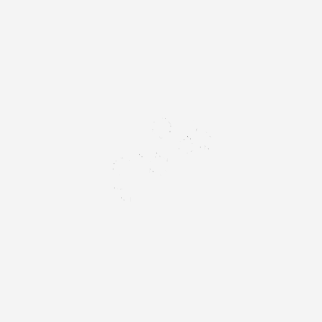 NS(=O)(=O)c1cccc(Nc2nccc(-c3sc4nccc(=O)n4c3-c3ccccc3)n2)c1